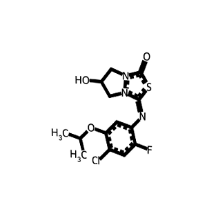 CC(C)Oc1cc(N=c2sc(=O)n3n2CC(O)C3)c(F)cc1Cl